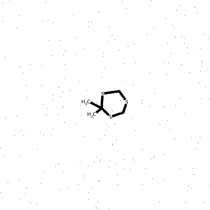 CC1(C)SCSCS1